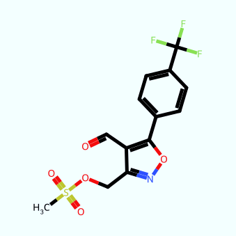 CS(=O)(=O)OCc1noc(-c2ccc(C(F)(F)F)cc2)c1C=O